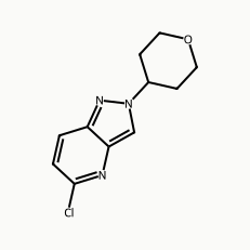 Clc1ccc2nn(C3CCOCC3)cc2n1